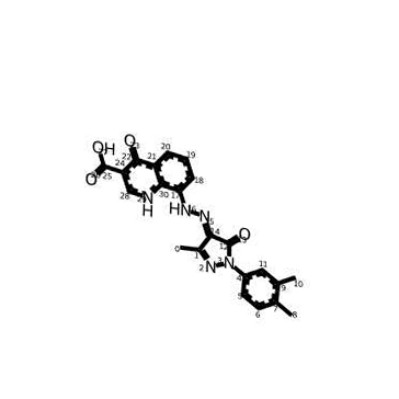 CC1=NN(c2ccc(C)c(C)c2)C(=O)C1=NNc1cccc2c(=O)c(C(=O)O)c[nH]c12